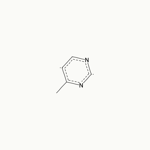 Cc1[c]cn[c]n1